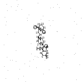 O=C(Nc1ccc(F)cc1F)N1CCN(CCCN2C(=O)CCCC2=O)CC1